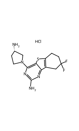 Cl.Nc1nc(N2CC[C@H](N)C2)c2sc3c(c2n1)CC(F)(F)CC3